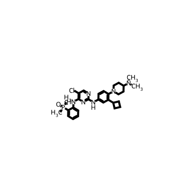 CN(C)C1CCN(c2ccc(Nc3ncc(Cl)c(Nc4ccccc4P(C)(C)=O)n3)cc2C2CCC2)CC1